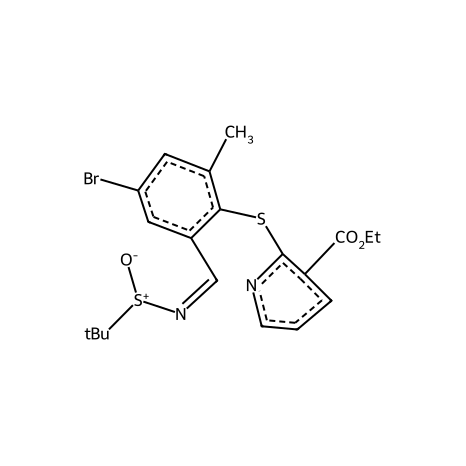 CCOC(=O)c1cccnc1Sc1c(C)cc(Br)cc1/C=N\[S+]([O-])C(C)(C)C